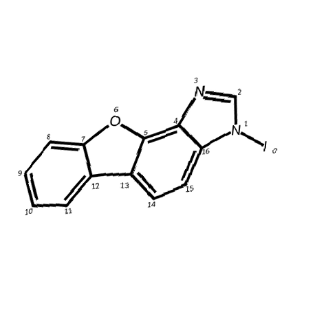 In1cnc2c3oc4ccccc4c3ccc21